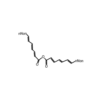 CCCCCCCCCC=CC=CC=CC(=O)OC(=O)C=CC=CC=CCCCCCCCCC